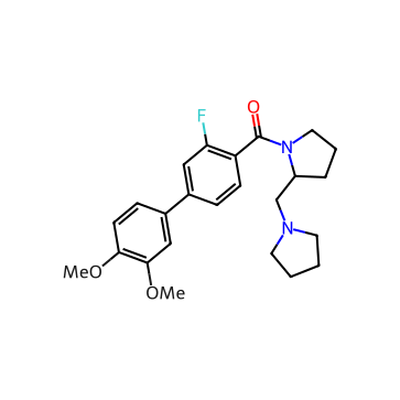 COc1ccc(-c2ccc(C(=O)N3CCCC3CN3CCCC3)c(F)c2)cc1OC